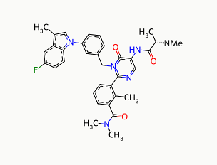 CN[C@@H](C)C(=O)Nc1cnc(-c2cccc(C(=O)N(C)C)c2C)n(Cc2cccc(-n3cc(C)c4cc(F)ccc43)c2)c1=O